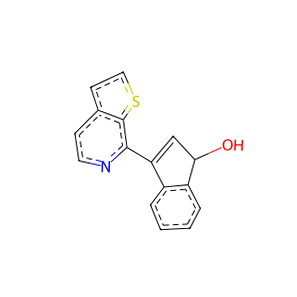 OC1C=C(c2nccc3ccsc23)c2ccccc21